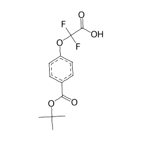 CC(C)(C)OC(=O)c1ccc(OC(F)(F)C(=O)O)cc1